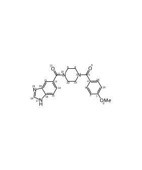 COc1ccc(C(=O)N2CCN(C(=O)c3ccc4[nH]cnc4c3)CC2)cc1